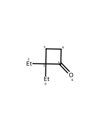 CCC1(CC)CCC1=O